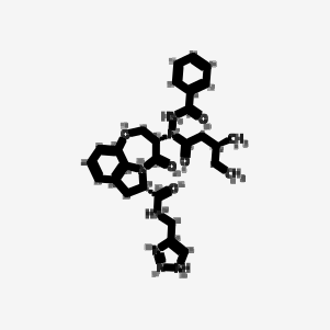 CC[C@H](C)CC(=O)N(NC(=O)c1ccccc1)[C@H]1COc2cccc3c2N(C1=O)[C@H](C(=O)NCc1c[nH]nn1)C3